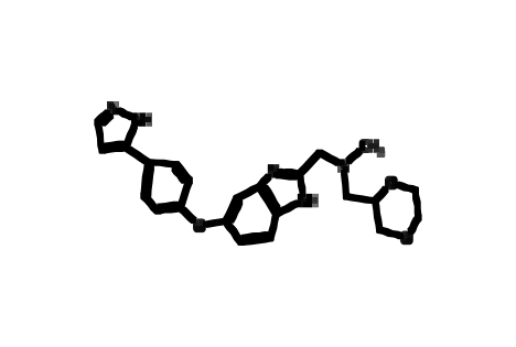 CN(Cc1nc2cc(Oc3ccc(-c4ccn[nH]4)cc3)ccc2[nH]1)CC1COCCO1